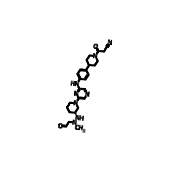 CN(CC=O)N[C@@H]1CCCN(c2cncc(Nc3ccc(C4CCN(C(=O)CC#N)CC4)cc3)n2)C1